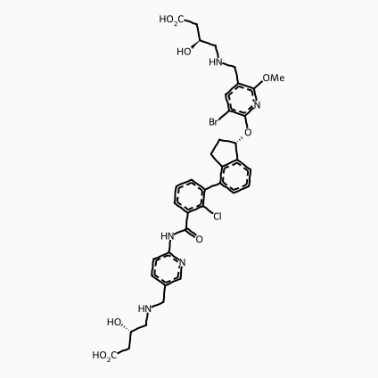 COc1nc(O[C@H]2CCc3c(-c4cccc(C(=O)Nc5ccc(CNC[C@@H](O)CC(=O)O)cn5)c4Cl)cccc32)c(Br)cc1CNC[C@@H](O)CC(=O)O